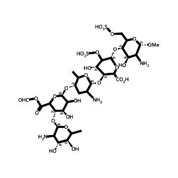 CO[C@H]1OC(COS(=O)(=O)O)[C@@H](O[C@@H]2OC(C(=O)O)[C@@H](O[C@H]3OC(C)[C@@H](O[C@@H]4OC(C(=O)OC=O)[C@@H](O[C@H]5OC(C)[C@@H](O)[C@H](O)C5N)[C@H](O)C4O)CC3N)[C@H](O)C2OS(=O)(=O)O)[C@H](O)C1N